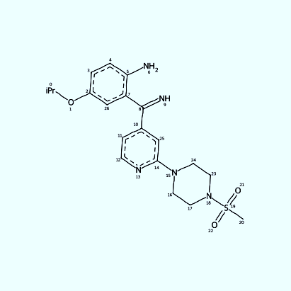 CC(C)Oc1ccc(N)c(C(=N)c2ccnc(N3CCN(S(C)(=O)=O)CC3)c2)c1